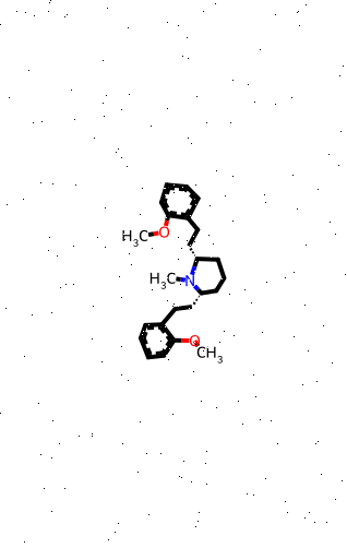 COc1ccccc1CC[C@H]1CCC[C@@H](CCc2ccccc2OC)N1C